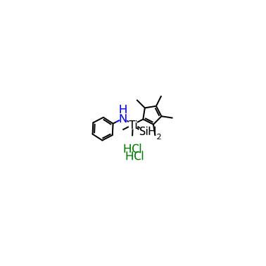 CC1=C(C)C(C)[C]([Ti]([CH3])([CH3])(=[SiH2])[NH]c2ccccc2)=C1C.Cl.Cl